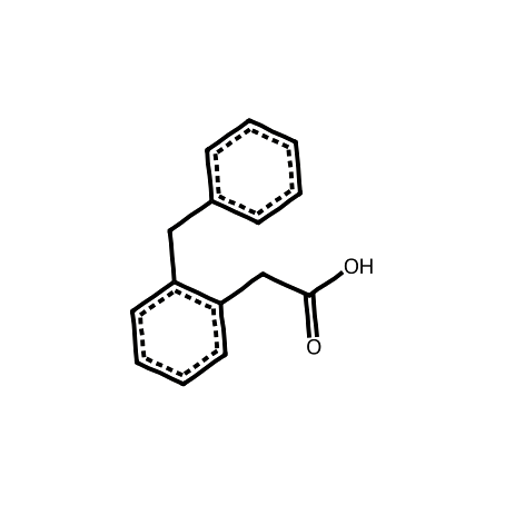 O=C(O)Cc1ccccc1Cc1ccccc1